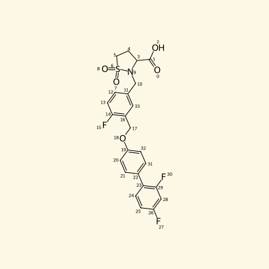 O=C(O)C1CCS(=O)(=O)N1Cc1ccc(F)c(COc2ccc(-c3ccc(F)cc3F)cc2)c1